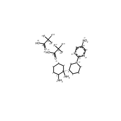 NC1CCCCC1(N)[C@H]1CCCN(c2ncc([N+](=O)[O-])cn2)C1.O=C(O)C(F)(F)F.O=C(O)C(F)(F)F